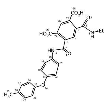 CCNC(=O)c1cc(C(=O)Nc2ccc(Oc3ccc(C)cc3)cc2)c(C(=O)O)cc1C(=O)O